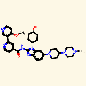 COc1ccncc1-c1cc(C(=O)Nc2nc3ccc(N4CCC(N5CCN(C)CC5)CC4)cc3n2[C@H]2CC[C@@H](O)CC2)ccn1